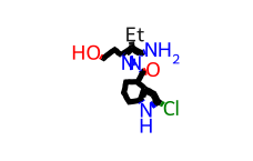 CCc1c(CCO)nn(C(=O)C2CCCc3[nH]c(Cl)cc32)c1N